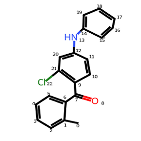 Cc1ccccc1C(=O)c1ccc(Nc2[c]cccc2)cc1Cl